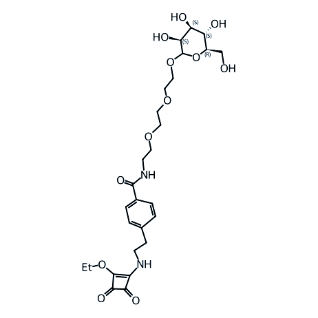 CCOc1c(NCCc2ccc(C(=O)NCCOCCOCCOC3O[C@H](CO)[C@@H](O)[C@H](O)[C@@H]3O)cc2)c(=O)c1=O